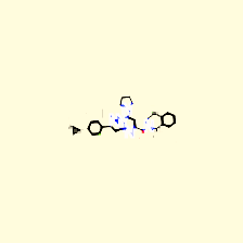 C[C@@H]1c2ccccc2[C@@H](F)CN1C(=O)c1cc(N2CCCC2)n2nc(-c3ccc([C@H]4C[C@@H]4CC(=O)O)cc3F)cc2n1